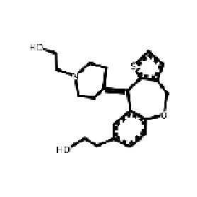 OCCc1ccc2c(c1)C(=C1CCN(CCO)CC1)c1sccc1CO2